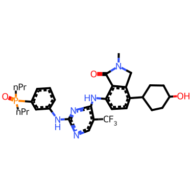 CCCP(=O)(CCC)c1cccc(Nc2ncc(C(F)(F)F)c(Nc3ccc(C4CCC(O)CC4)c4c3C(=O)N(C)C4)n2)c1